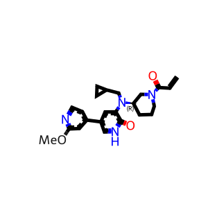 C=CC(=O)N1CCC[C@@H](N(CC2CC2)c2cc(-c3ccnc(OC)c3)c[nH]c2=O)C1